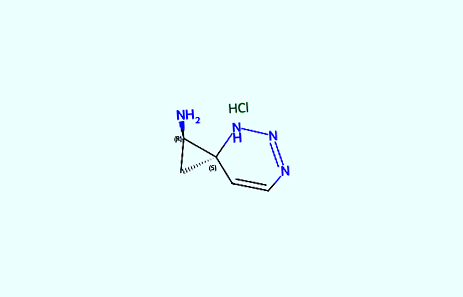 Cl.N[C@@H]1C[C@]12C=CN=NN2